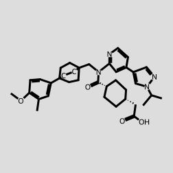 COc1ccc(C23CCC(CN(c4cc(-c5cnn(C(C)C)c5)ccn4)C(=O)[C@H]4CC[C@@H](CC(=O)O)CC4)(CC2)CC3)cc1C